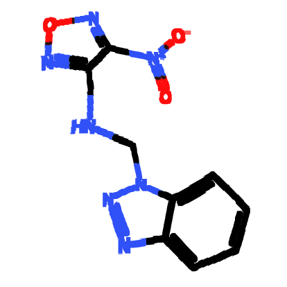 O=[N+]([O-])c1nonc1NCn1nnc2ccccc21